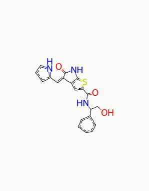 O=C1Nc2sc(C(=O)NC(CO)c3ccccc3)cc2/C1=C/c1ccc[nH]1